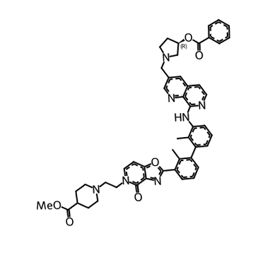 COC(=O)C1CCN(CCn2ccc3oc(-c4cccc(-c5cccc(Nc6nccc7cc(CN8CC[C@@H](OC(=O)c9ccccc9)C8)cnc67)c5C)c4C)nc3c2=O)CC1